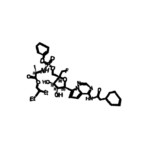 CCC(CC)COC(=O)[C@H](C)N[P@](=O)(OC[C@@]1(CF)O[C@@H](c2ccc3c(NC(=O)CC4CCCCC4)ncnn23)[C@H](O)[C@@H]1O)Oc1ccccc1